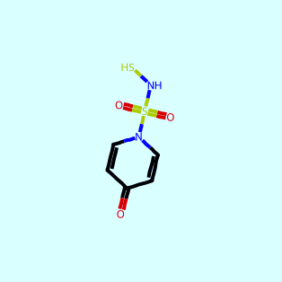 O=c1ccn(S(=O)(=O)NS)cc1